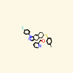 Cc1ccc(S[C@H]2CCC3=Cc4c(cnn4-c4ccc(F)cc4)C[C@]3(C(=O)c3ccccn3)C2)cc1